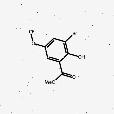 COC(=O)c1cc(OC(F)(F)F)cc(Br)c1O